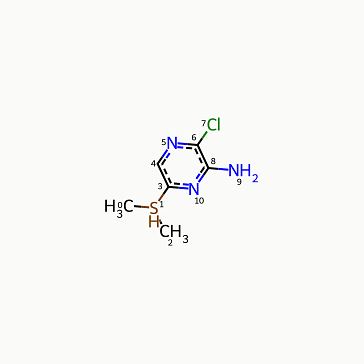 C[SH](C)c1cnc(Cl)c(N)n1